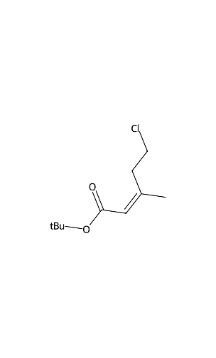 C/C(=C/C(=O)OC(C)(C)C)CCCl